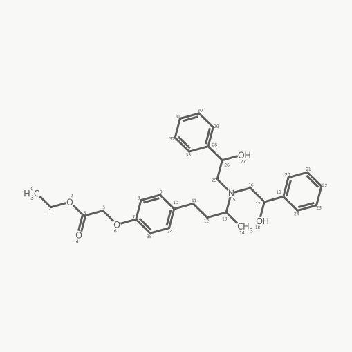 CCOC(=O)COc1ccc(CCC(C)N(CC(O)c2ccccc2)CC(O)c2ccccc2)cc1